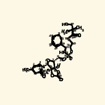 Cc1ccn([C@@H]2O[C@H](COP(=O)(NCc3ccccc3)OCCSC(=O)C(C)(C)CO)[C@H]3OC(=O)O[C@]32C)c(=O)n1